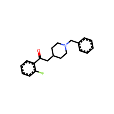 O=C(CC1CCN(Cc2ccccc2)CC1)c1ccccc1F